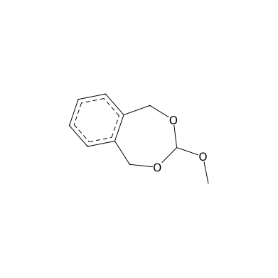 COC1OCc2ccccc2CO1